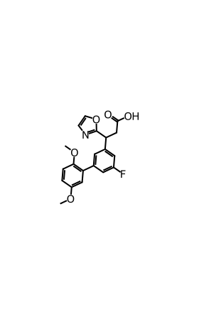 COc1ccc(OC)c(-c2cc(F)cc(C(CC(=O)O)c3ncco3)c2)c1